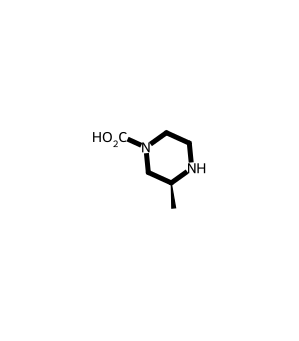 C[C@H]1CN(C(=O)O)CCN1